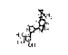 C[C@H]1[C@H](O)[C@@H](O)CN1c1cc(-c2n[nH]c3ccc(OC4(C)CC4)cc23)ccn1